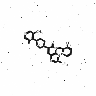 Cc1cnc2cc(C3CCC(c4c(C)cncc4F)CC3)c(=O)n(Cc3ncccc3C(F)(F)F)c2n1